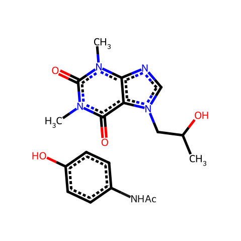 CC(=O)Nc1ccc(O)cc1.CC(O)Cn1cnc2c1c(=O)n(C)c(=O)n2C